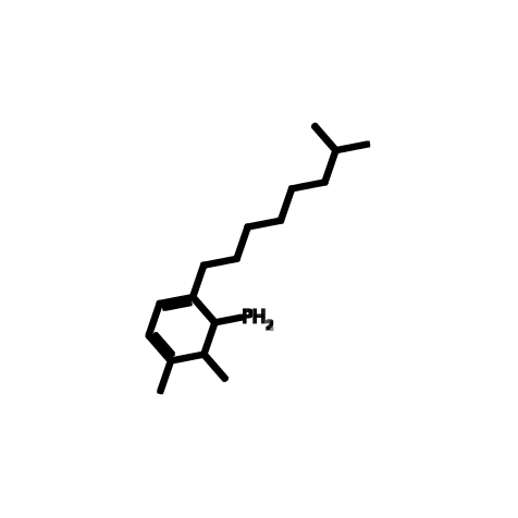 CC1=CC=C(CCCCCCC(C)C)C(P)C1C